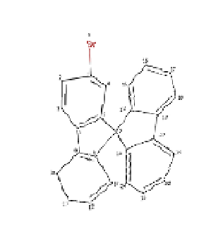 Brc1ccc2c(c1)C1(C3=C2CCC=C3)c2ccccc2-c2ccccc21